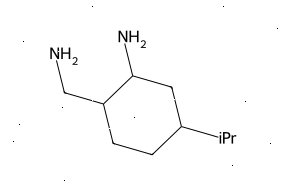 CC(C)C1CCC(CN)C(N)C1